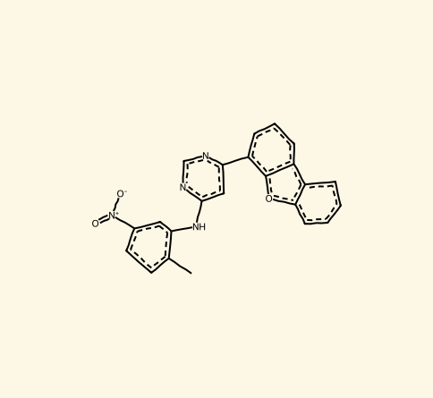 Cc1ccc([N+](=O)[O-])cc1Nc1cc(-c2cccc3c2oc2ccccc23)ncn1